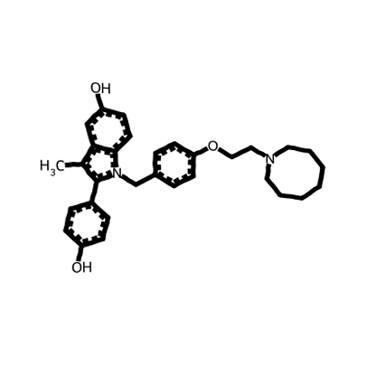 Cc1c(-c2ccc(O)cc2)n(Cc2ccc(OCCN3CCCCCCC3)cc2)c2ccc(O)cc12